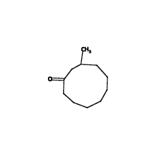 CC1CCCCCCCC(=O)C1